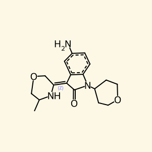 CC1COC/C(=C2/C(=O)N(C3CCOCC3)c3ccc(N)cc32)N1